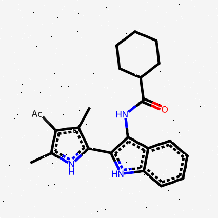 CC(=O)c1c(C)[nH]c(-c2[nH]c3ccccc3c2NC(=O)C2CCCCC2)c1C